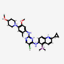 COc1cc(Nc2ncc(Br)c(Nc3ccc4nc(C5CC5)ccc4c3P(C)C)n2)c(C)cc1N1CCC(OC)CC1